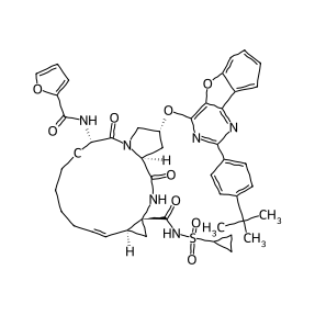 CC(C)(C)c1ccc(-c2nc(O[C@@H]3C[C@H]4C(=O)N[C@]5(C(=O)NS(=O)(=O)C6CC6)C[C@H]5/C=C\CCCCC[C@H](NC(=O)c5ccco5)C(=O)N4C3)c3oc4ccccc4c3n2)cc1